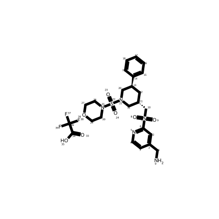 NCc1ccnc(S(=O)(=O)C[C@H]2C[C@H](c3ccccc3)CN(S(=O)(=O)N3CCOCC3)C2)c1.O=C(O)C(F)(F)F